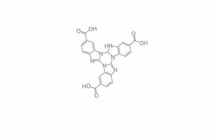 O=C(O)c1ccc2c(c1)NC1N2c2nc3ccc(C(=O)O)cc3n2-c2nc3ccc(C(=O)O)cc3n21